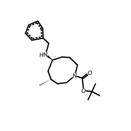 C[C@H]1CCN(C(=O)OC(C)(C)C)CCC[C@H](NCc2ccccc2)C1